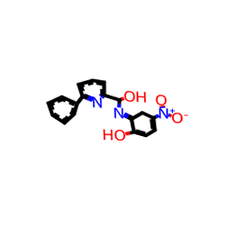 O=[N+]([O-])C1=CC=C(O)C(=NC(O)c2cccc(-c3ccccc3)n2)C1